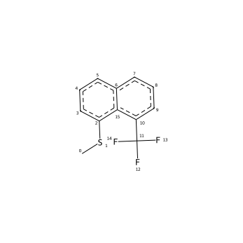 CSc1cccc2cccc(C(F)(F)F)c12